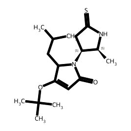 CC(C)CC1C(OC(C)(C)C)=CC(=O)N1[C@H]1CC(=S)N[C@H]1C